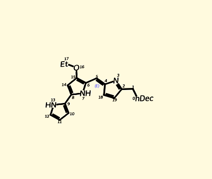 CCCCCCCCCCCC1=N/C(=C/c2[nH]c(-c3ccc[nH]3)cc2OCC)C=C1